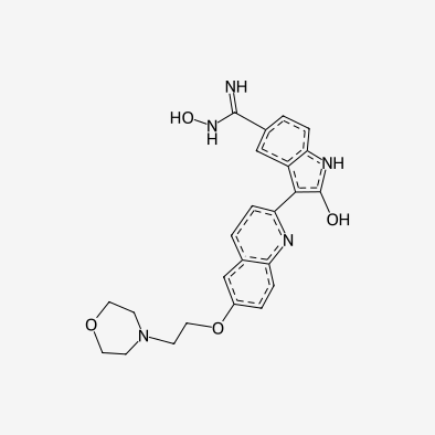 N=C(NO)c1ccc2[nH]c(O)c(-c3ccc4cc(OCCN5CCOCC5)ccc4n3)c2c1